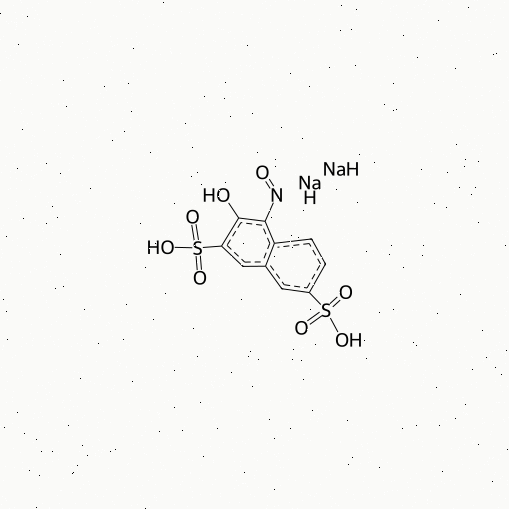 O=Nc1c(O)c(S(=O)(=O)O)cc2cc(S(=O)(=O)O)ccc12.[NaH].[NaH]